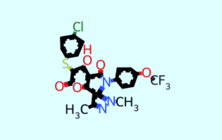 Cc1nn(C)c2c1c1oc(=O)c(Sc3ccc(Cl)cc3)c(O)c1c(=O)n2-c1ccc(OC(F)(F)F)cc1